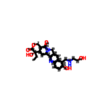 CC[C@@]1(O)C(=O)OCc2c1cc1n(c2=O)Cc2cc3c(CNCCO)c(O)ccc3nc2-1